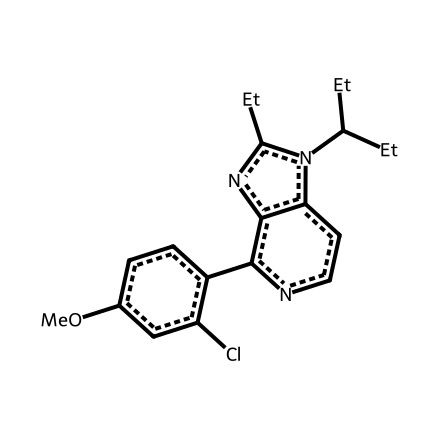 CCc1nc2c(-c3ccc(OC)cc3Cl)nccc2n1C(CC)CC